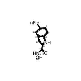 CCCc1ccc2[nH]c(C(=O)NO)cc2c1